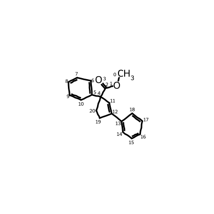 COC(=O)C1(c2ccccc2)C=C(c2ccccc2)CC1